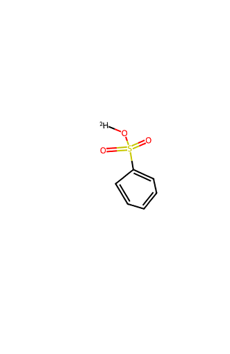 [2H]OS(=O)(=O)c1ccccc1